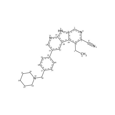 CCc1c(C#N)ncc2[nH]c3ncc(-c4ccc(CN5CCCCC5)cc4)cc3c12